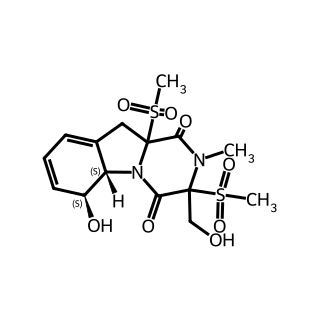 CN1C(=O)C2(S(C)(=O)=O)CC3=CC=C[C@H](O)[C@H]3N2C(=O)C1(CO)S(C)(=O)=O